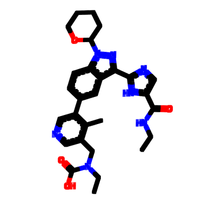 CCNC(=O)c1cnc(-c2nn(C3CCCCO3)c3ccc(-c4cncc(CN(CC)C(=O)O)c4C)cc23)[nH]1